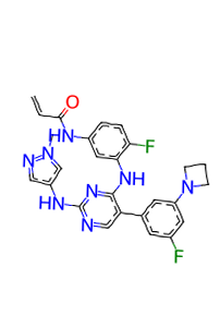 C=CC(=O)Nc1ccc(F)c(Nc2nc(Nc3cnn(C)c3)ncc2-c2cc(F)cc(N3CCC3)c2)c1